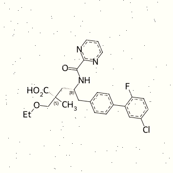 CCOC[C@](C)(C[C@@H](Cc1ccc(-c2cc(Cl)ccc2F)cc1)NC(=O)c1ncccn1)C(=O)O